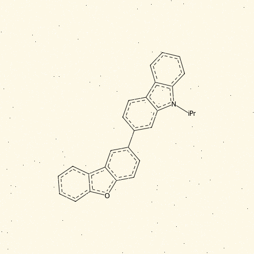 CC(C)n1c2ccccc2c2ccc(-c3ccc4oc5ccccc5c4c3)cc21